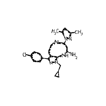 Cc1cc(C)n(-c2cc(N)[nH]c3c(ccn2)c(-c2ccc(Cl)cc2)nn3CC2CC2)n1